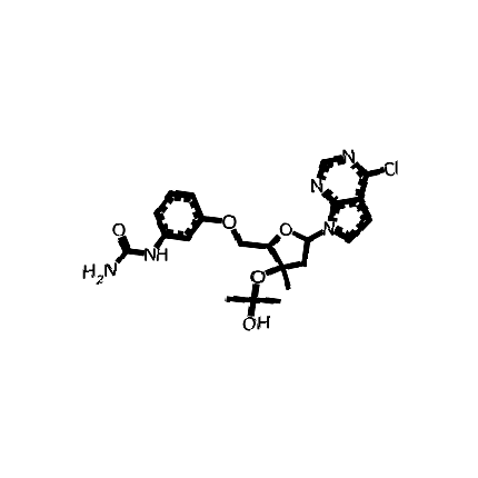 CC(C)(O)OC1(C)CC(n2ccc3c(Cl)ncnc32)OC1COc1cccc(NC(N)=O)c1